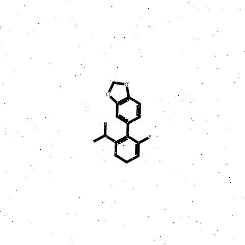 CC(C)C1=C(c2ccc3c(c2)OCO3)C(F)=CC[CH]1